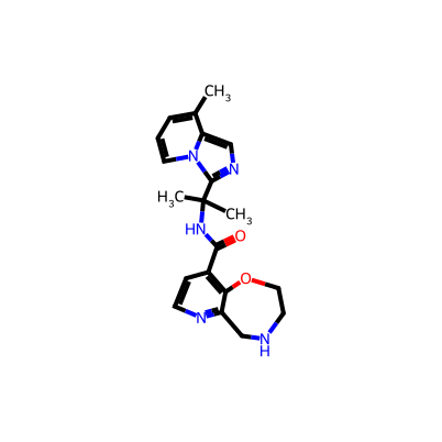 Cc1cccn2c(C(C)(C)NC(=O)c3ccnc4c3OCCNC4)ncc12